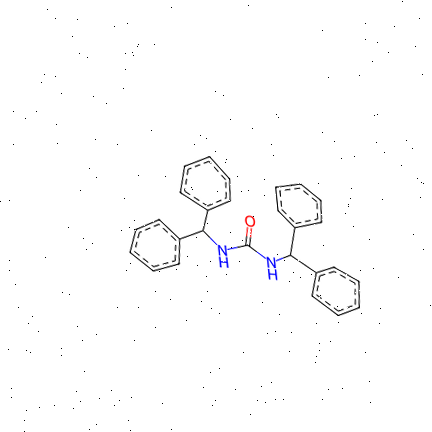 O=C(NC(c1ccccc1)c1ccccc1)NC(c1ccccc1)c1ccccc1